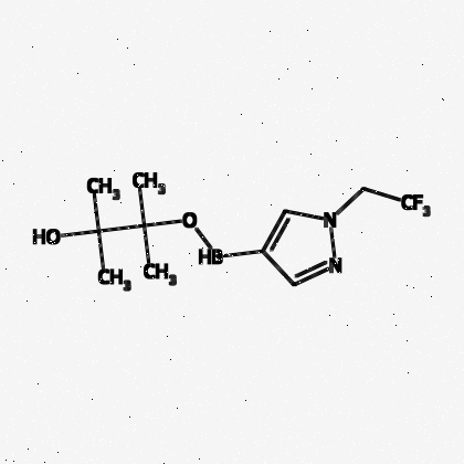 CC(C)(O)C(C)(C)OBc1cnn(CC(F)(F)F)c1